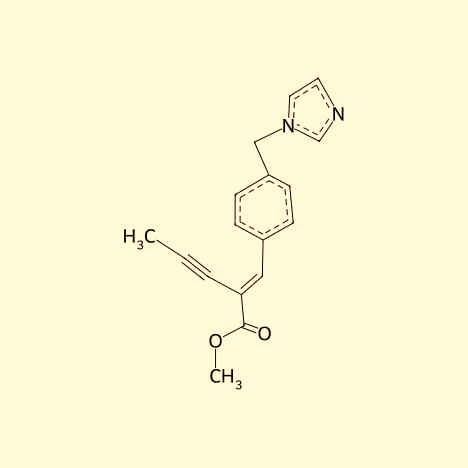 CC#C/C(=C\c1ccc(Cn2ccnc2)cc1)C(=O)OC